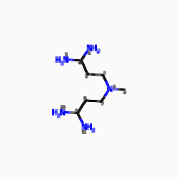 CN(CCC(N)N)CCC(N)N